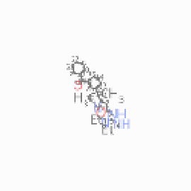 CCN(CC)C(=N)Nc1cc(C(C)(C)c2cccc(C(=O)c3ccccc3)c2)no1